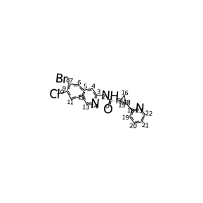 O=C(Nc1cc2cc(Br)c(Cl)cc2cn1)[C@@H]1C[C@H]1c1ccccn1